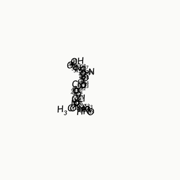 COc1nc(O[C@H]2CCc3c(-c4cccc(-c5cc6cc7c(c(C#N)c6o5)CC[C@H]7N5CC[C@@H](C(=O)O)C5)c4Cl)cccc32)c(Cl)cc1CN1CC2(CCC(=O)N2)C1